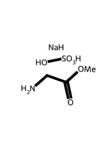 COC(=O)CN.O=S(=O)(O)O.[NaH]